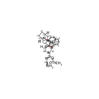 Cc1nc2ccccc2n1[C@H]1C[C@H]2CC[C@@H](C1)N2CCC1(c2ccccc2)CCN(/C(=N/C#N)OC(C)C)CC1